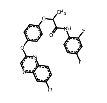 CC(Oc1ccc(Oc2cnc3cc(Cl)ccc3n2)cc1)C(=O)Nc1ccc(F)cc1F